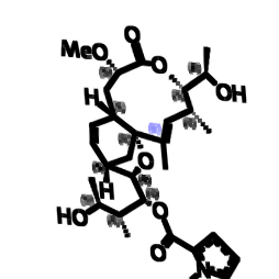 CO[C@H]1C[C@H]2C=C[C@@H]3C[C@]2(O[C@H]3[C@H](OC(=O)c2cccn2C)[C@H](C)[C@H](C)O)/C(C)=C/[C@@H](C)[C@@H]([C@@H](C)O)OC1=O